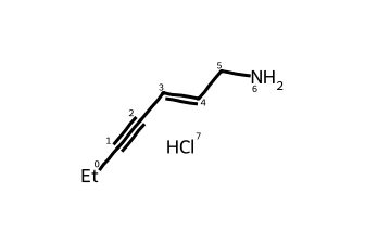 CCC#CC=CCN.Cl